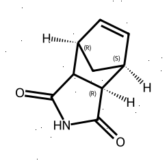 O=C1NC(=O)[C@H]2C1[C@H]1C=C[C@@H]2C1